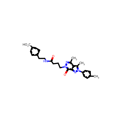 Cc1ccc(-n2nc3c(=O)n(CCCC(=O)NCCc4ccc(C(=O)O)cc4)nc(C)c3c2C)cc1